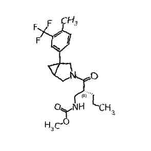 CCC[C@H](CNC(=O)OC)C(=O)N1CC2CC2(c2ccc(C)c(C(F)(F)F)c2)C1